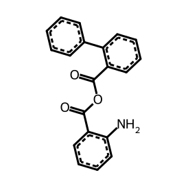 Nc1ccccc1C(=O)OC(=O)c1ccccc1-c1ccccc1